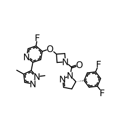 Cc1cnn(C)c1-c1cc(OC2CN(C(=O)N3N=CC[C@H]3c3cc(F)cc(F)c3)C2)c(F)cn1